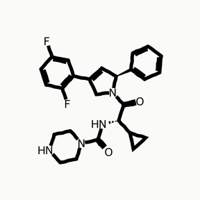 O=C(N[C@H](C(=O)N1CC(c2cc(F)ccc2F)=C[C@H]1c1ccccc1)C1CC1)N1CCNCC1